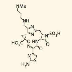 CNCCCNCc1cnn(C[C@@H]2[C@H](NC(=O)C(=NOC3(C(=O)O)CC3)c3csc(N)n3)C(=O)N2S(=O)(=O)O)n1